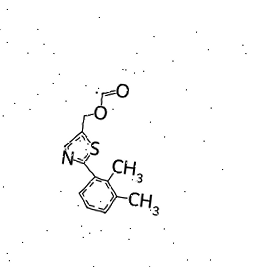 Cc1cccc(-c2ncc(CO[C]=O)s2)c1C